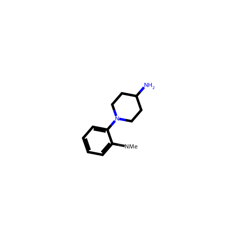 CNc1ccccc1N1CCC(N)CC1